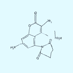 CC(=O)O.Cc1c(N)c(=O)oc2cc(N)cc(N3C(=O)CCC3=O)c12